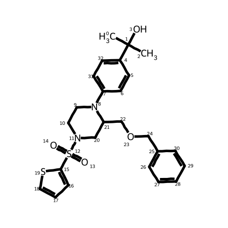 CC(C)(O)c1ccc(N2CCN(S(=O)(=O)c3cccs3)CC2COCc2ccccc2)cc1